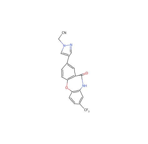 N#CCn1cc(-c2ccc3c(c2)C(=O)Nc2cc(C(F)(F)F)ccc2O3)cn1